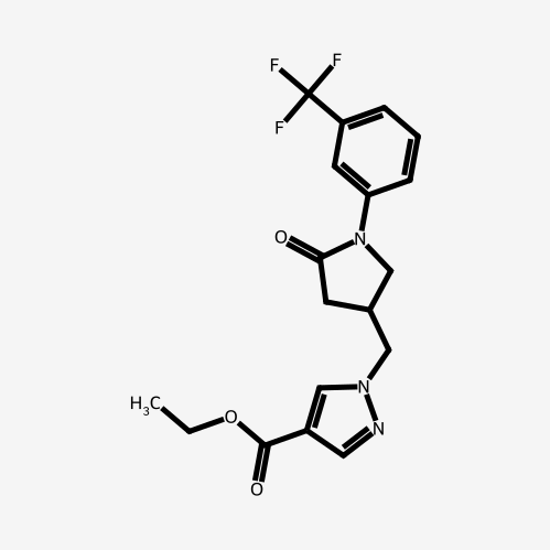 CCOC(=O)c1cnn(CC2CC(=O)N(c3cccc(C(F)(F)F)c3)C2)c1